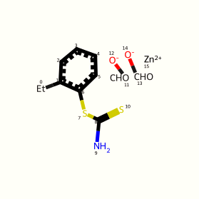 CCc1ccccc1SC(N)=S.O=C[O-].O=C[O-].[Zn+2]